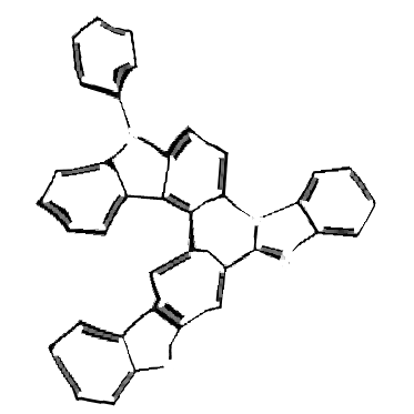 c1ccc(-n2c3ccccc3c3c4c5cc6c(cc5c5nc7ccccc7n5c4ccc32)sc2ccccc26)cc1